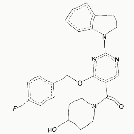 O=C(c1cnc(N2CCc3ccccc32)nc1OCc1ccc(F)cc1)N1CCC(O)CC1